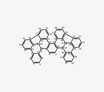 c1ccc2c(c1)B1c3ccc4c(c3-c3cccc5c6cccc-2c6n1c35)-c1cccc2c3cccc5c3n(c12)B4c1ccccc1-5